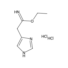 CCOC(=N)Cc1c[nH]cn1.Cl.Cl